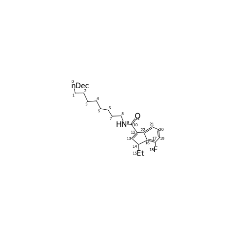 CCCCCCCCCCCCCCCCCCNC(=O)C1=CC(CC)c2c(F)cccc21